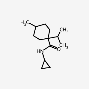 CC1CCC(C(=O)NC2CC2)(C(C)C)CC1